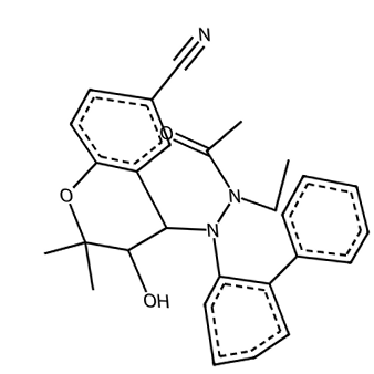 CCN(C(C)=O)N(c1ccccc1-c1ccccc1)C1c2cc(C#N)ccc2OC(C)(C)C1O